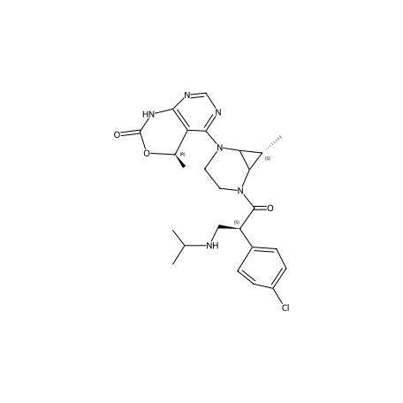 CC(C)NC[C@@H](C(=O)N1CCN(c2ncnc3c2[C@@H](C)OC(=O)N3)C2C1[C@H]2C)c1ccc(Cl)cc1